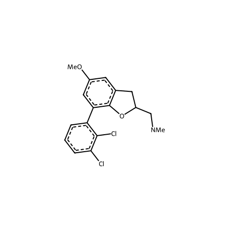 CNCC1Cc2cc(OC)cc(-c3cccc(Cl)c3Cl)c2O1